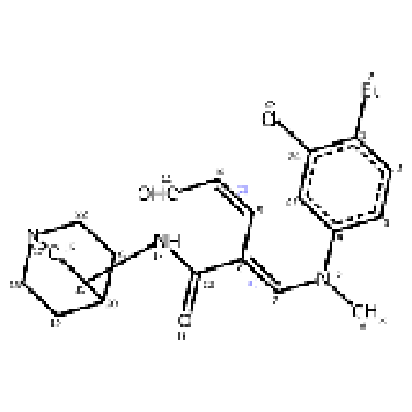 CCc1ccc(N(C)/C=C(\C=C/C=O)C(=O)NC2CN3CCC2CC3)cc1Cl